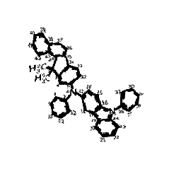 CC1(C)c2cc(N(c3ccccc3)c3ccc4c(c3)c3ccccc3n4-c3ccccc3)ccc2-c2ccc3ccccc3c21